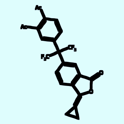 CC(=O)c1ccc(C(c2ccc3c(c2)C(=O)OC3=C2CC2)(C(F)(F)F)C(F)(F)F)cc1C(C)=O